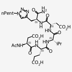 CCCCCn1cc(C[C@H](NC(=O)[C@H](CC(=O)O)NC(=O)[C@@H](NC(=O)[C@H](CCC(=O)O)NC(=O)[C@H](CC(=O)O)NC(C)=O)C(C)C)C(N)=O)nn1